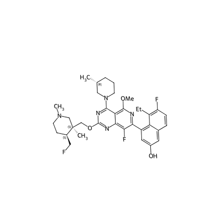 CCc1c(F)ccc2cc(O)cc(-c3nc(OC)c4c(N5CCC[C@@H](C)C5)nc(OC[C@]5(C)CN(C)CC[C@@H]5CF)nc4c3F)c12